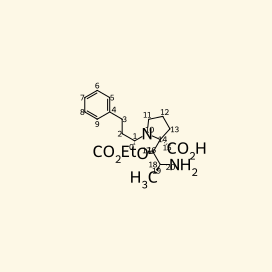 CCOC(=O)[C@H](CCc1ccccc1)N1CCC[C@@]1(C(=O)O)C(=O)[C@H](C)N